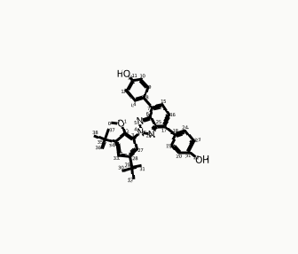 COc1c(-n2nc3c(-c4ccc(O)cc4)ccc(-c4ccc(O)cc4)c3n2)cc(C(C)(C)C)cc1C(C)(C)C